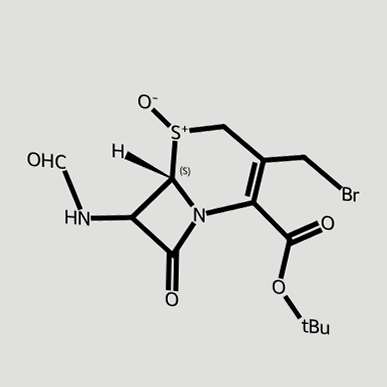 CC(C)(C)OC(=O)C1=C(CBr)C[S+]([O-])[C@H]2C(NC=O)C(=O)N12